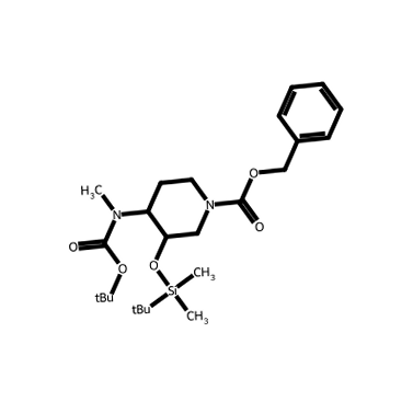 CN(C(=O)OC(C)(C)C)C1CCN(C(=O)OCc2ccccc2)CC1O[Si](C)(C)C(C)(C)C